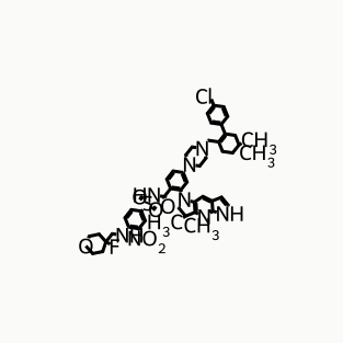 CC1(C)CCC(CN2CCN(c3ccc(C(=O)NS(=O)(=O)c4ccc(NCC5(F)CCOCC5)c([N+](=O)[O-])c4)c(N4CC(C)(C)c5nc6[nH]ccc6cc54)c3)CC2)=C(c2ccc(Cl)cc2)C1